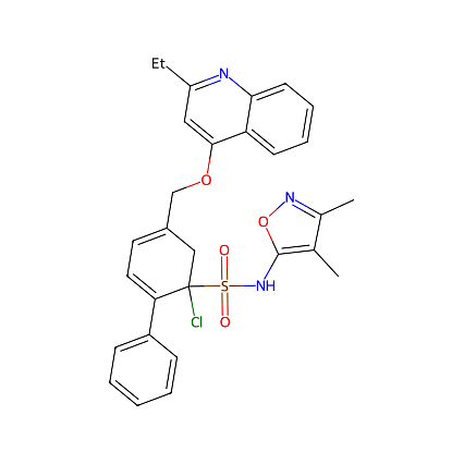 CCc1cc(OCC2=CC=C(c3ccccc3)C(Cl)(S(=O)(=O)Nc3onc(C)c3C)C2)c2ccccc2n1